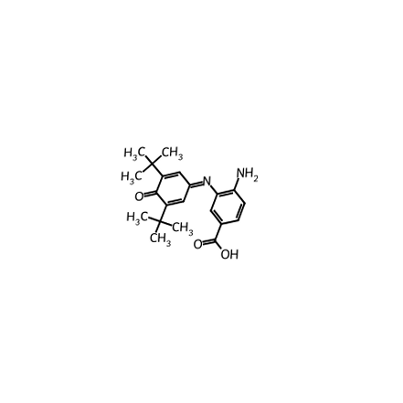 CC(C)(C)C1=CC(=Nc2cc(C(=O)O)ccc2N)C=C(C(C)(C)C)C1=O